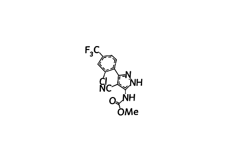 COC(=O)Nc1[nH]nc(-c2ccc(C(F)(F)F)cc2Cl)c1C#N